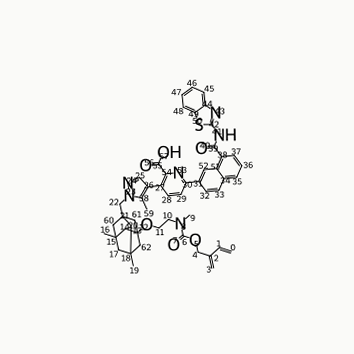 C=CC(=C)COC(=O)N(C)CCOC12CC3(C)CC(C)(CC(Cn4ncc(-c5ccc(-c6ccc7cccc(C(=O)Nc8nc9ccccc9s8)c7c6)nc5C(=O)O)c4C)(C3)C1)C2